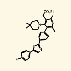 CCOC(=O)Cc1c(C)nc(C)c(-c2ccc(-c3ncc(-c4ccc(F)cc4)s3)cc2)c1N1CCC(C)(C)CC1